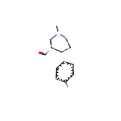 CN1CC[C@H](c2ccc(Cl)cc2)[C@@H](C=O)C1